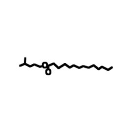 CCCCCCCCCCCCCC(=O)OCCCC(C)C